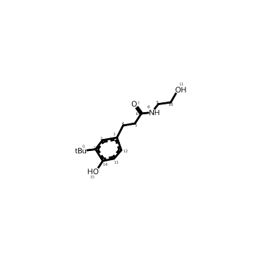 CC(C)(C)c1cc(CCC(=O)NCCO)ccc1O